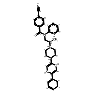 C[C@H](CN(C(=O)c1ccc(C#N)cc1)c1ccccn1)N1CCN(C2=COC(C3=CC=CCC3)=CO2)CC1